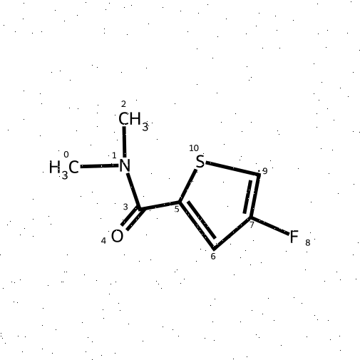 CN(C)C(=O)c1cc(F)[c]s1